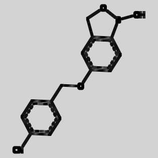 [C-]#[N+]c1ccc(COc2ccc3c(c2)COB3O)cc1